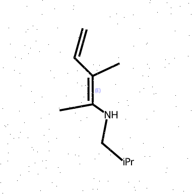 C=C/C(C)=C(\C)NCC(C)C